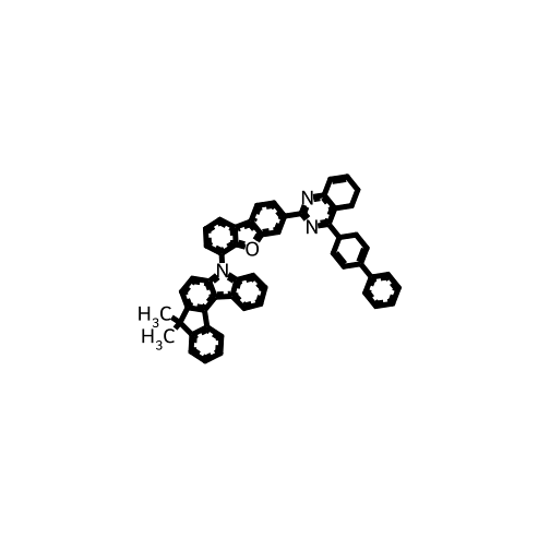 CC1(C)c2ccccc2-c2c1ccc1c2c2ccccc2n1-c1cccc2c1oc1cc(-c3nc4c(c(C5C=CC(c6ccccc6)=CC5)n3)CCC=C4)ccc12